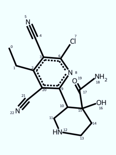 CCc1c(C#N)c(Cl)nc(C2CNCCC2(O)C(N)=O)c1C#N